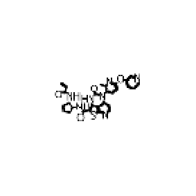 C=CC(=O)N[C@H]1CCCC1NC(=O)c1sc2nccc3c2c1NC(=O)N3c1ccc(Oc2cccnc2)nc1C